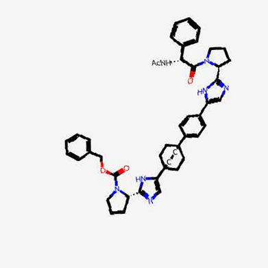 CC(=O)N[C@@H](C(=O)N1CCC[C@H]1c1ncc(-c2ccc(C34CCC(c5cnc([C@@H]6CCCN6C(=O)OCc6ccccc6)[nH]5)(CC3)CC4)cc2)[nH]1)c1ccccc1